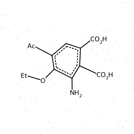 CCOc1c(C(C)=O)cc(C(=O)O)c(C(=O)O)c1N